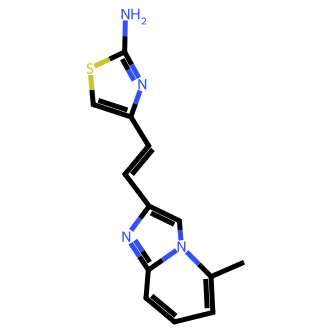 Cc1cccc2nc(C=Cc3csc(N)n3)cn12